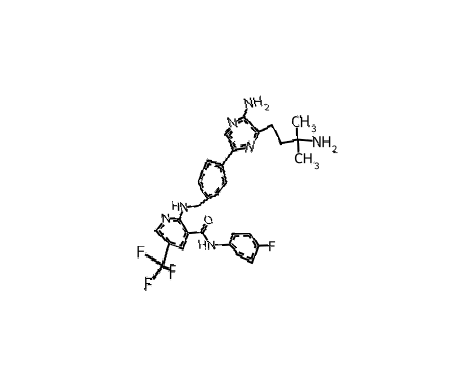 CC(C)(N)CCc1nc(-c2ccc(CNc3ncc(C(F)(F)F)cc3C(=O)Nc3ccc(F)cc3)cc2)cnc1N